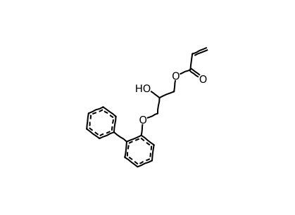 C=CC(=O)OCC(O)COc1ccccc1-c1ccccc1